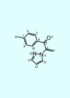 C=C(C(=O)c1ccc(C)cc1)n1cccn1